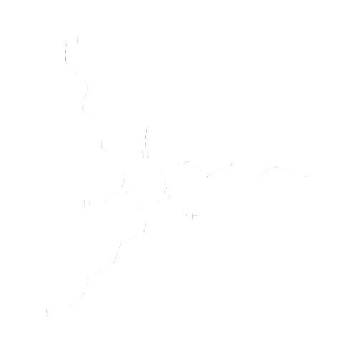 CCCCCCB1N(C)B(CCCCCC)N(C)B(CCCCCC)N1C